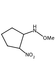 CONC1CCCC1[N+](=O)[O-]